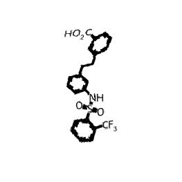 O=C(O)c1cccc(CCc2cccc(NS(=O)(=O)c3ccccc3C(F)(F)F)c2)c1